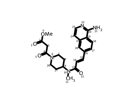 COC(=O)CC(=O)N1CCC(N(C)C(=O)C=Cc2ccc3c(N)nccc3c2)CC1